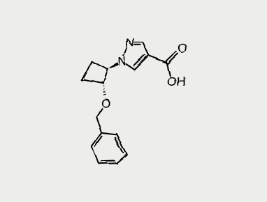 O=C(O)c1cnn([C@@H]2CC[C@H]2OCc2ccccc2)c1